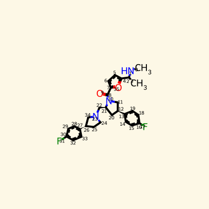 CNC(C)c1ccc(C(=O)N2C[C@@H](c3ccc(F)cc3)C[C@H]2CN2CC[C@H](c3ccc(F)cc3)C2)o1